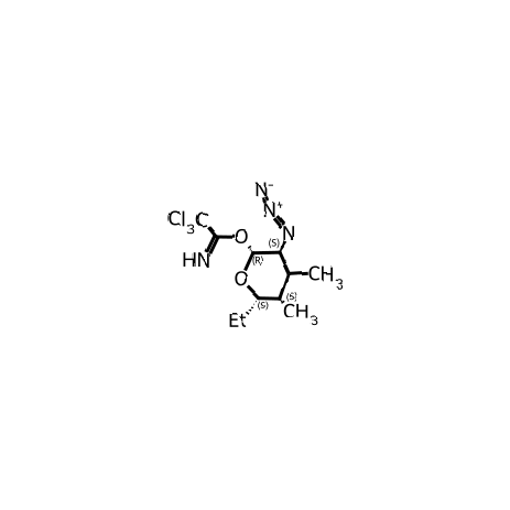 CC[C@@H]1O[C@H](OC(=N)C(Cl)(Cl)Cl)[C@@H](N=[N+]=[N-])C(C)[C@@H]1C